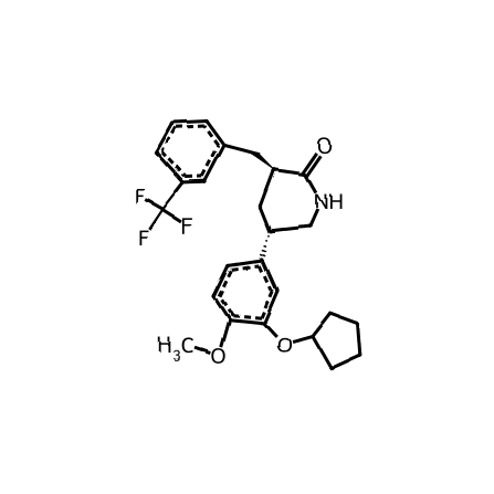 COc1ccc([C@H]2CNC(=O)[C@H](Cc3cccc(C(F)(F)F)c3)C2)cc1OC1CCCC1